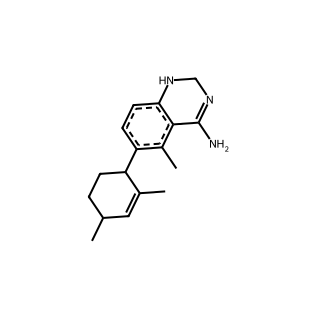 CC1=CC(C)CCC1c1ccc2c(c1C)C(N)=NCN2